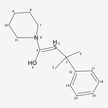 CC(C)([SH]=C(O)N1CCCCC1)c1ccccc1